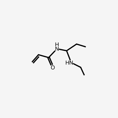 C=CC(=O)NC(CC)NCC